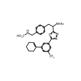 CC(=O)NC(Cc1ccc(CNC(=O)O)cc1)c1nnc(-c2cc(C3=CCCCC3)cc(C(F)(F)F)c2)s1